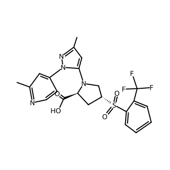 Cc1cc(-n2nc(C)cc2N2C[C@H](S(=O)(=O)c3ccccc3C(F)(F)F)C[C@H]2C(=O)O)ccn1